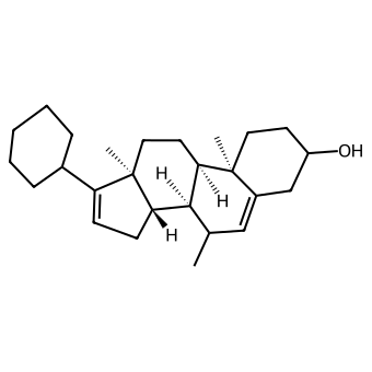 CC1C=C2CC(O)CC[C@]2(C)[C@@H]2CC[C@]3(C)C(C4CCCCC4)=CC[C@H]3[C@H]12